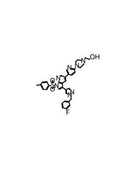 Cc1ccc(S(=O)(=O)n2cc(-c3cnn(Cc4cccc(F)c4)c3)c3cc(-c4ccc(N5CCN(CCO)CC5)nc4)cnc32)cc1